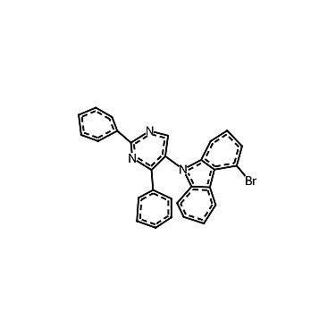 Brc1cccc2c1c1ccccc1n2-c1cnc(-c2ccccc2)nc1-c1ccccc1